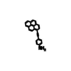 Nc1ccc(C#Cc2ccc3ccc4cccc5ccc2c3c45)cc1